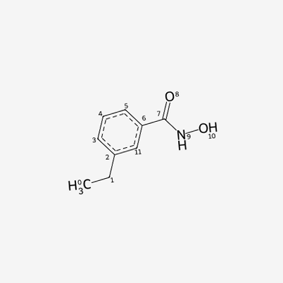 CCc1cccc(C(=O)NO)c1